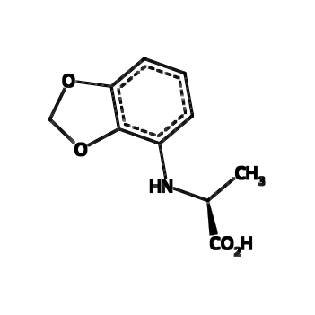 C[C@H](Nc1cccc2c1OCO2)C(=O)O